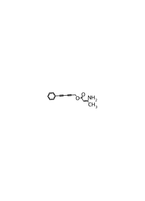 C/C(N)=C/C(=O)OCC#CC#Cc1ccccc1